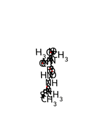 CCn1c2ccc(CNCCCCNC(=O)COc3ccc(CCc4nc5cc(-c6c(C)noc6C)ccc5n4CCN4CCOCC4)cc3F)cc2c2ccc(-c3cc(C)cs3)cc21